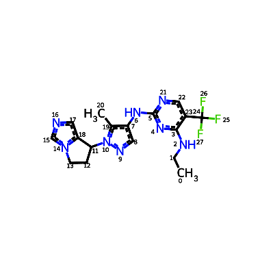 CCNc1nc(Nc2cnn(C3CCn4cncc43)c2C)ncc1C(F)(F)F